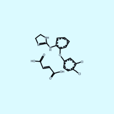 Clc1ccc(Oc2ccccc2NC2=NCCN2)cc1Cl.O=C(O)C=CC(=O)O